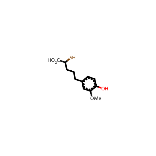 COc1cc(CCCC(S)C(=O)O)ccc1O